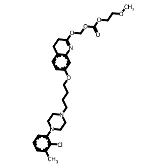 COCCOC(=O)OCOC1=Nc2cc(OCCCCN3CCN(c4cccc(C)c4Cl)CC3)ccc2CC1